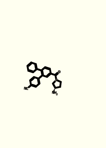 N#Cc1ccc(-c2cc(C(=O)N3CC[C@H](N)C3)ccc2-c2c[c]ccc2)cc1